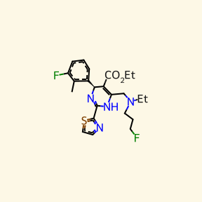 CCOC(=O)C1=C(CN(CC)CCCF)NC(c2nccs2)=N[C@H]1c1cccc(F)c1C